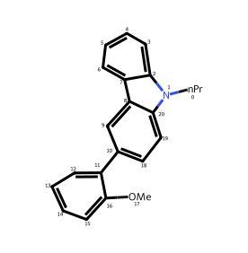 CCCn1c2ccccc2c2cc(-c3ccccc3OC)ccc21